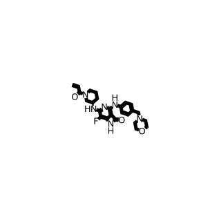 C=CC(=O)N1CCC[C@@H](Nc2nc(Nc3ccc(CN4CCOCC4)cc3)c3c(c2F)NC3=O)C1